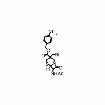 CC(=O)NC1C(=O)N2CC(CBr)(C(=O)OCc3ccc([N+](=O)[O-])cc3)CS[C@H]12